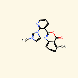 Cc1cccc2nc(-c3cccnc3-n3cc[n+](C)c3)oc(=O)c12